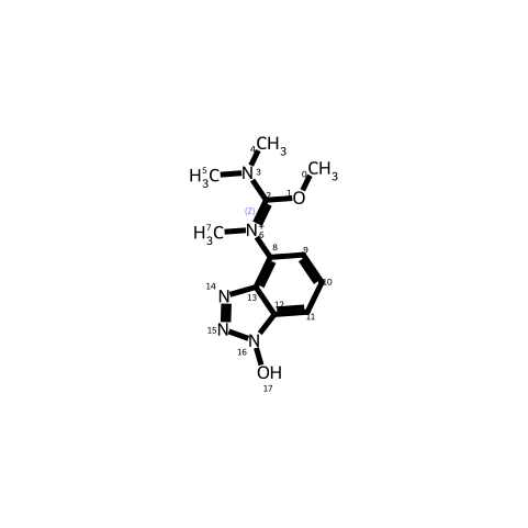 CO/C(N(C)C)=[N+](/C)c1cccc2c1nnn2O